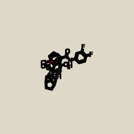 COC(=O)N1CCC[C@H]1C(=O)NC[C@]1(O)C2CCC1C[C@@H](S(=O)(=O)c1cc(C(=O)Nc3ccc(F)c(F)c3)ccc1Cl)C2